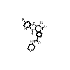 CC[C@H]1[C@H](C)[C@@H](Nc2ccc(F)cn2)c2cc(C(=O)NC3CCOCC3)ccc2N1C(C)=O